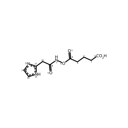 O=C(O)CCCC(=O)ONC(=O)Cc1ncc[nH]1